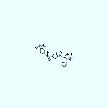 CN/C(=C(\C=N)CN1CCCc2cc(C(=O)NCc3ccc([S+](N)[O-])cc3)ccc21)c1ccccc1